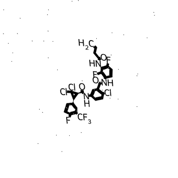 C=CCC(=O)Nc1c(F)ccc(NC(=O)c2cc(NC(=O)[C@H]3[C@H](c4ccc(F)c(C(F)(F)F)c4)C3(Cl)Cl)ccc2Cl)c1F